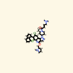 CN(C)C/C=C/C(=O)N1CCC(n2ncc3c(OCC4CCCN4C)nc4c(F)c(-c5cccc6cccc(Cl)c56)c(Cl)cc4c32)C[C@H]1CC#N